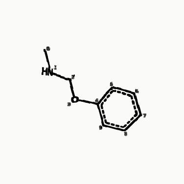 CNCOc1[c]cccc1